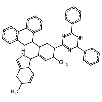 CC1C=CC2C(=CNC2C2=CC(C)C(C3=NC(c4ccccc4)NC(c4ccccc4)=N3)CC2C2Cc3ccccc3-c3ccccc32)C1